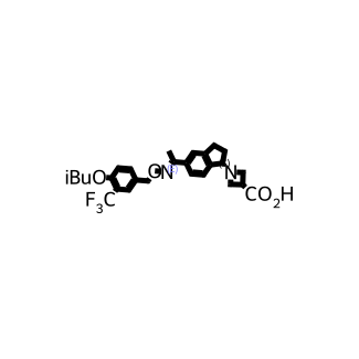 C/C(=N\OCc1ccc(OCC(C)C)c(C(F)(F)F)c1)c1ccc2c(c1)CC[C@@H]2N1CC(C(=O)O)C1